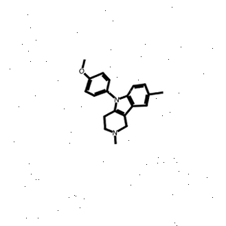 COc1ccc(-n2c3c(c4cc(C)ccc42)CN(C)CC3)cc1